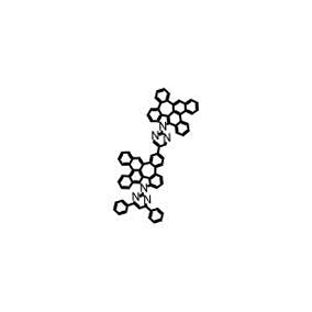 c1ccc(-c2cc(-c3ccccc3)nc(-n3c4cccc5c4c4c6c(cc7ccccc7c6c6ccccc6c43)-c3cc(-c4cnc(-n6c7cccc8c7c7c9c(cc%10ccccc%10c9c9ccccc9c76)-c6ccccc6-8)nc4)ccc3-5)n2)cc1